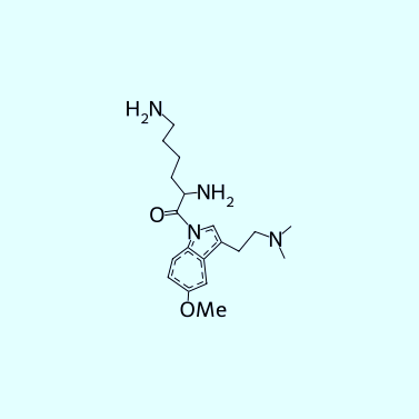 COc1ccc2c(c1)c(CCN(C)C)cn2C(=O)C(N)CCCCN